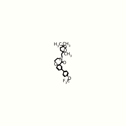 CC1(C)CCC(C)(CCN2CCOc3ccc(-c4ccc(OC(F)(F)F)cc4)cc3C2=O)OO1